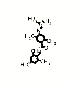 CCN(C)/C=N/c1cc(C)c(C(=O)OCc2c(C)cc(C)cc2C)cc1C